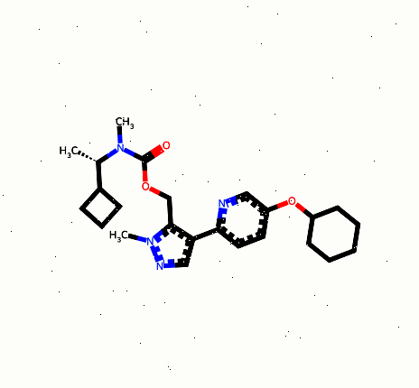 C[C@@H](C1CCC1)N(C)C(=O)OCc1c(-c2ccc(OC3CCCCC3)cn2)cnn1C